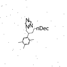 CCCCCCCCCCCCC(Cn1cncn1)c1cc(C)c(C)cc1C